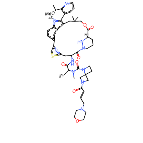 CCn1c(-c2cccnc2[C@H](C)OC)c2c3cc(ccc31)-c1csc(n1)C[C@H](NC(=O)C(C(C)C)N(C)C(=O)N1CCC13CN(C(=O)/C=C/CN1CCOCC1)C3)C(=O)N1CCC[C@H](N1)C(=O)OCC(C)(C)C2